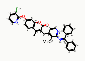 COc1c(Cc2c(C)c3ccc(Oc4ncccc4F)cc3oc2=O)ccnc1N=C(c1ccccc1)c1ccccc1